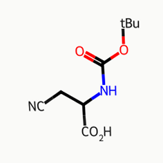 CC(C)(C)OC(=O)NC(CC#N)C(=O)O